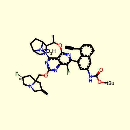 C#Cc1cccc2cc(NC(=O)OC(C)(C)C)cc(-c3nc4c5c(nc(OCC67CC(=C)CN6C[C@H](F)C7)nc5c3F)N3CC5CCC(C3C(C)O4)N5C(=O)O)c12